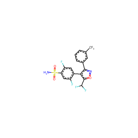 NS(=O)(=O)c1cc(F)c(-c2c(-c3cccc(C(F)(F)F)c3)noc2C(F)F)cc1F